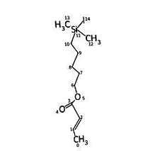 CC=CC(=O)OCCCCC[Si](C)(C)I